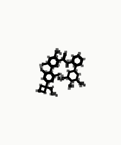 COC1(c2cc(F)c(-c3nc(C(=O)Nc4cnccc4[C@H]4C[C@@H](N)[C@H](O)[C@@H](C)C4)c(N)cc3F)c(F)c2)COC1